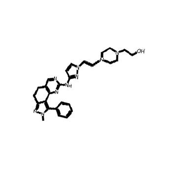 Cn1nc2c(c1-c1ccccc1)-c1nc(Nc3ccn(CCN4CCN(CCO)CC4)n3)ncc1CC2